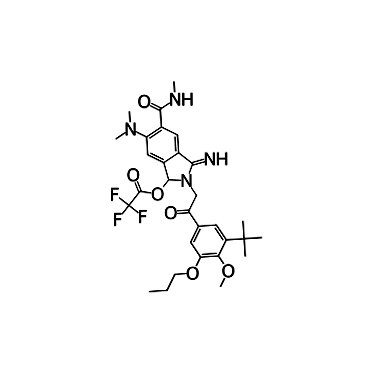 CCCOc1cc(C(=O)CN2C(=N)c3cc(C(=O)NC)c(N(C)C)cc3C2OC(=O)C(F)(F)F)cc(C(C)(C)C)c1OC